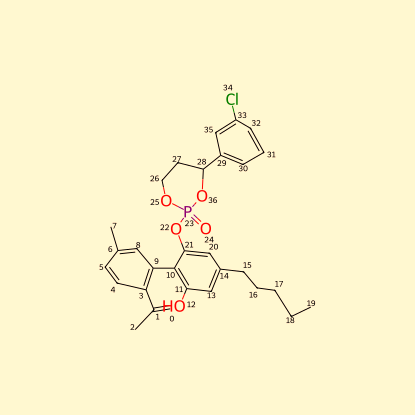 C=C(C)c1ccc(C)cc1-c1c(O)cc(CCCCC)cc1OP1(=O)OCCC(c2cccc(Cl)c2)O1